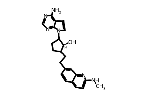 CNc1ccc2ccc(CCC3CCC(n4ccc5c(N)ncnc54)[C@H]3O)cc2n1